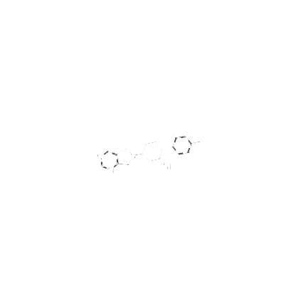 NC1CC(N2Cc3cncnc3C2)CC[C@@H]1c1cc(F)c(F)cc1F